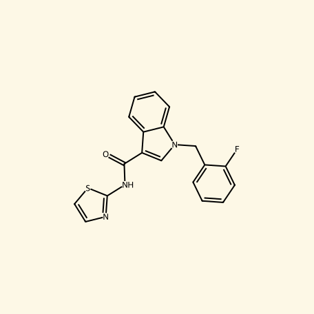 O=C(Nc1nccs1)c1cn(Cc2ccccc2F)c2ccccc12